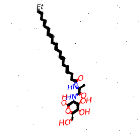 CCC=CCC=CCC=CCC=CCC=CCC=CCCC(=O)NC(C)C(=O)N[C@@H]1[C@@H](O)[C@H](O)[C@@H](CO)O[C@H]1O